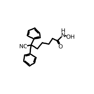 N#CC(CCCCC(=O)NO)(c1ccccc1)c1ccccc1